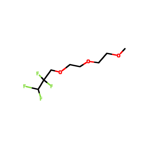 COCCOCCOCC(F)(F)C(F)F